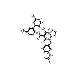 C[C@]12CCCN1N(Cc1cccc(OC(F)F)c1)C(=O)C(C(=O)Nc1ccc(C(F)(F)F)cc1-c1cc(C(F)(F)F)ncn1)=C2O